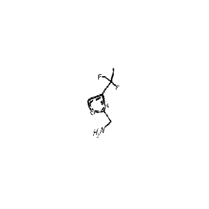 CC(F)(F)c1coc(CN)n1